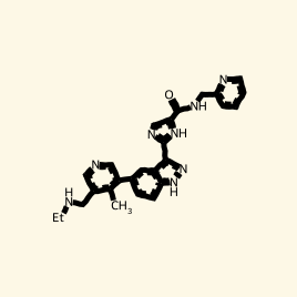 CCNCc1cncc(-c2ccc3[nH]nc(-c4ncc(C(=O)NCc5ccccn5)[nH]4)c3c2)c1C